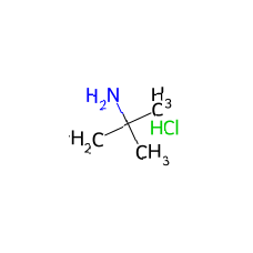 Cl.[CH2]C(C)(C)N